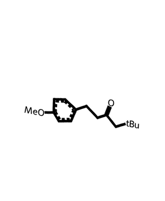 COc1ccc(CCC(=O)CC(C)(C)C)cc1